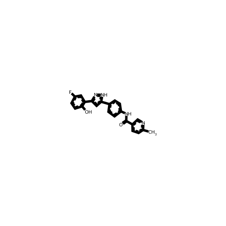 Cc1ccc(C(=O)Nc2ccc(-c3cc(-c4cc(F)ccc4O)n[nH]3)cc2)cn1